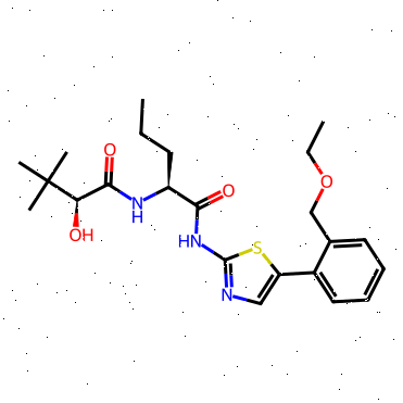 CCC[C@H](NC(=O)[C@@H](O)C(C)(C)C)C(=O)Nc1ncc(-c2ccccc2COCC)s1